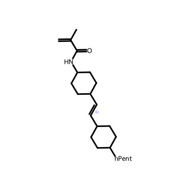 C=C(C)C(=O)NC1CCC(/C=C/C2CCC(CCCCC)CC2)CC1